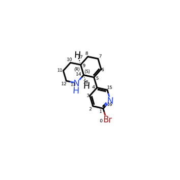 Brc1ccc(C2=CCC[C@@H]3CCCN[C@H]23)cn1